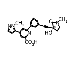 CN1CC[C@@](O)(C#Cc2cccc(-c3cc(-c4ccnn4C)cc(C(=O)O)n3)c2)C1=O